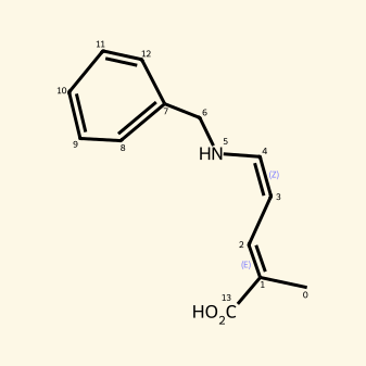 C/C(=C\C=C/NCc1ccccc1)C(=O)O